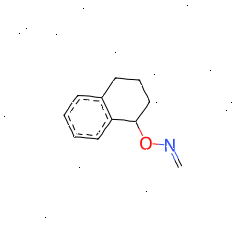 C=NOC1CCCc2ccccc21